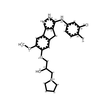 COc1cc2c(cc1OCC(O)CN1CCCC1)Cc1c-2n[nH]c1Nc1ccc(F)c(Cl)c1